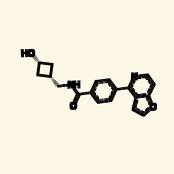 O=C(NC[C@H]1C[C@@H](O)C1)c1ccc(-c2nccc3occc23)cc1